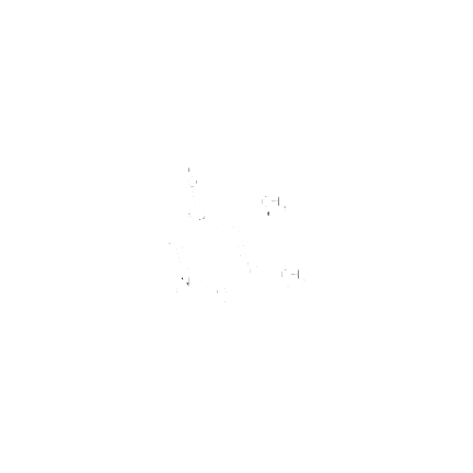 Cc1oncc(=O)c1C